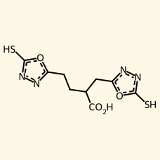 O=C(O)C(CCc1nnc(S)o1)Cc1nnc(S)o1